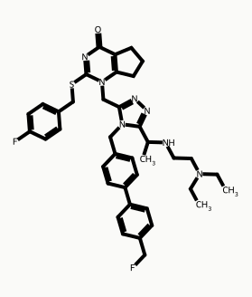 CCN(CC)CCNC(C)c1nnc(Cn2c(SCc3ccc(F)cc3)nc(=O)c3c2CCC3)n1Cc1ccc(-c2ccc(CF)cc2)cc1